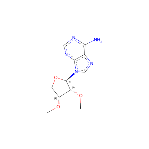 CO[C@H]1[C@H](n2cnc3c(N)ncnc32)OC[C@H]1OC